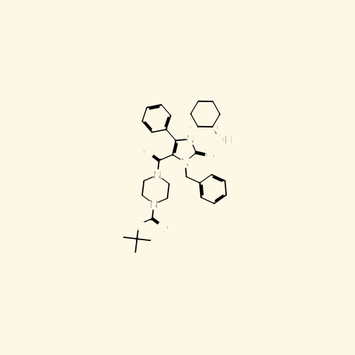 CC(C)(C)OC(=O)N1CCN(C(=O)c2c(-c3ccccc3)n([C@@H]3CCCC[C@H]3O)c(=O)n2Cc2ccccc2)CC1